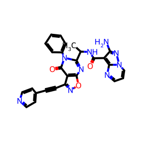 CC(NC(=O)c1c(N)nn2cccnc12)c1nc2onc(C#Cc3ccncc3)c2c(=O)n1-c1ccccc1